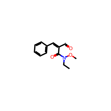 CCN(OC)C(=O)C([C]=O)=Cc1ccccc1